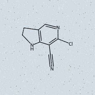 N#Cc1c(Cl)ncc2c1NCC2